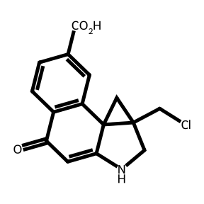 O=C(O)c1ccc2c(c1)C13CC1(CCl)CNC3=CC2=O